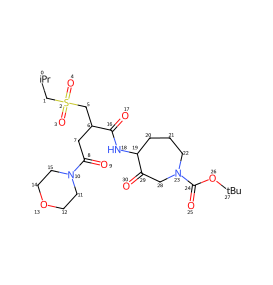 CC(C)CS(=O)(=O)CC(CC(=O)N1CCOCC1)C(=O)NC1CCCN(C(=O)OC(C)(C)C)CC1=O